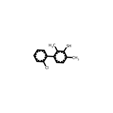 Cc1ccc(-c2ccccc2Cl)c(C)c1S